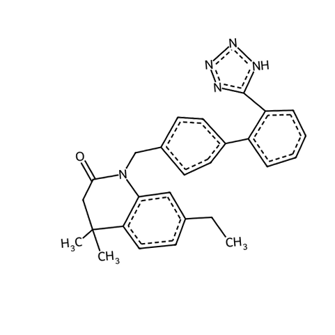 CCc1ccc2c(c1)N(Cc1ccc(-c3ccccc3-c3nnn[nH]3)cc1)C(=O)CC2(C)C